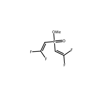 COP(=O)(C=C(F)F)C=C(F)F